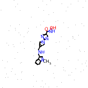 Cn1cc(CNCC2C3CN(c4ncc(C(=O)NO)cn4)CC23)c2ccccc21